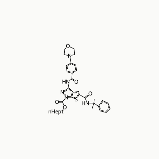 CCCCCCCOC(=O)n1nc(NC(=O)c2ccc(N3CCOCC3)cc2)c2cc(C(=O)NC(C)(C)c3ccccc3)sc21